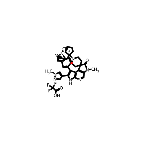 CN1C(=O)C2(CCN(C3(CC#N)CCCC3)CC2)c2c1cnc1[nH]c(-c3cnn(C)c3)c(-c3ccc4c(cnn4C)c3)c21.O=C(O)C(F)(F)F